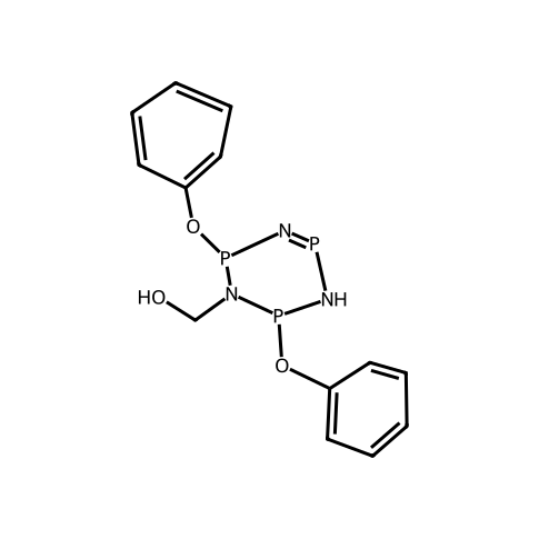 OCn1p(Oc2ccccc2)np[nH]p1Oc1ccccc1